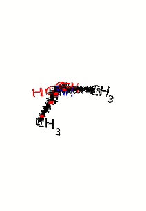 CCCCCCCCCCCCCCCC(O)C(CO)NC(=O)CC(O)CCCCCCCCCCCCC